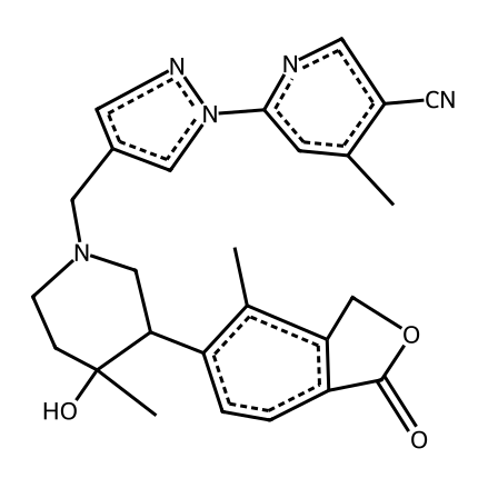 Cc1cc(-n2cc(CN3CCC(C)(O)C(c4ccc5c(c4C)COC5=O)C3)cn2)ncc1C#N